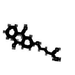 O=C(O)CCCOc1ccc2c(c1)C(=O)c1ccccc1C2=O